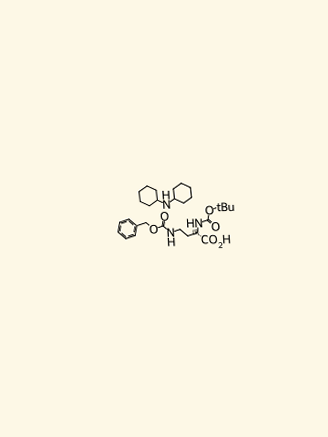 C1CCC(NC2CCCCC2)CC1.CC(C)(C)OC(=O)N[C@@H](CCNC(=O)OCc1ccccc1)C(=O)O